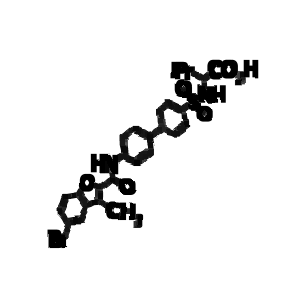 Cc1c(C(=O)Nc2ccc(-c3ccc(S(=O)(=O)NC(C(=O)O)C(C)C)cc3)cc2)oc2ccc(Br)cc12